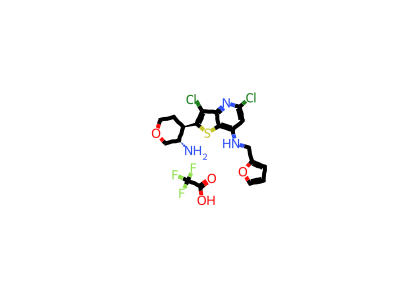 N[C@@H]1COCC[C@H]1c1sc2c(NCc3ccco3)cc(Cl)nc2c1Cl.O=C(O)C(F)(F)F